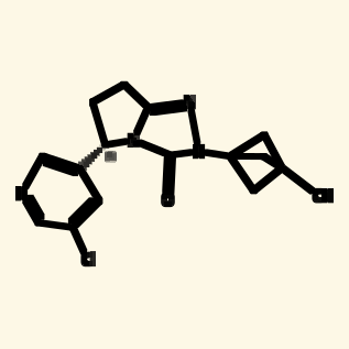 N#CC12CC(n3nc4n(c3=O)[C@H](c3cncc(Cl)c3)CC4)(C1)C2